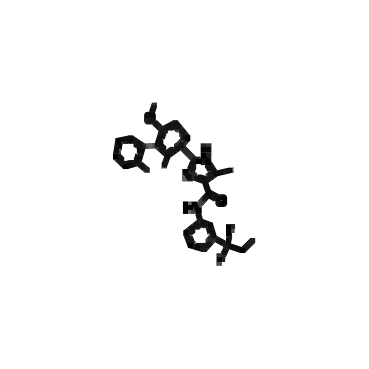 CCC(F)(F)c1cccc(NC(=O)c2nc(-c3ccc(OC)c(-c4ccccc4C)c3C)[nH]c2C)c1